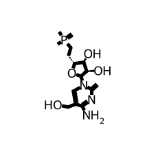 C=C1N=C(N)C(CO)=CN1C1O[C@H](CCP(=C)(C)C)[C@@H](O)[C@H]1O